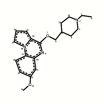 CCN1CCC(COc2nc3cc(OC)ccc3n3cccc23)CC1